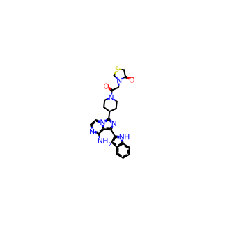 Nc1nccn2c(C3CCN(C(=O)CN4CSCC4=O)CC3)nc(-c3cc4ccccc4[nH]3)c12